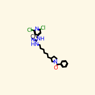 N#C/N=C(/NCCCCCCC1CCN(C(=O)c2ccccc2)C1)Nc1cc(Cl)nc(Cl)c1